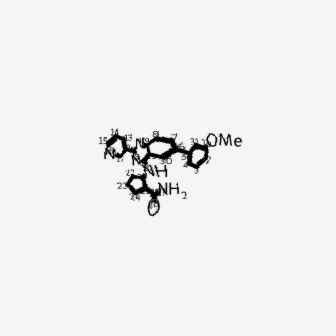 COc1cccc(-c2ccc3nc(-c4cccnc4)nc(NC4CCCC4C(N)=O)c3c2)c1